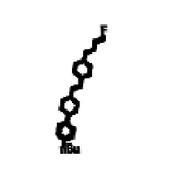 CCCCc1ccc(C2CCC(CCC3CCC(CCC=CF)CC3)CC2)cc1